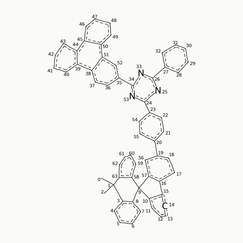 CC1(C)c2ccccc2C2(c3ccccc3-c3ccc(-c4ccc(-c5nc(-c6ccccc6)nc(-c6ccc7c8ccccc8c8ccccc8c7c6)n5)cc4)cc32)c2ccccc21